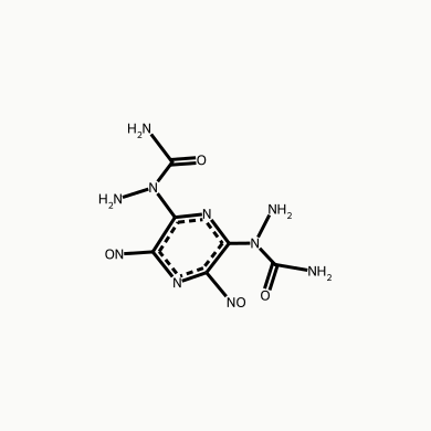 NC(=O)N(N)c1nc(N(N)C(N)=O)c(N=O)nc1N=O